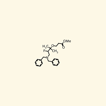 COC(=O)CCOC(C)(C)C(F)CN(Cc1ccccc1)Cc1ccccc1